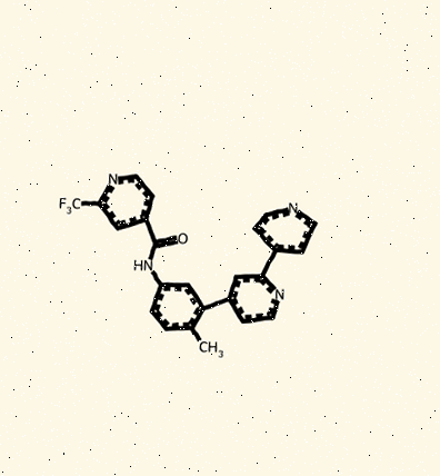 Cc1ccc(NC(=O)c2ccnc(C(F)(F)F)c2)cc1-c1ccnc(-c2ccncc2)c1